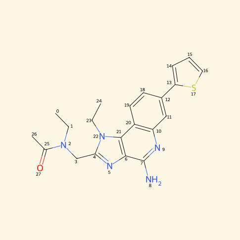 CCN(Cc1nc2c(N)nc3cc(-c4cccs4)ccc3c2n1CC)C(C)=O